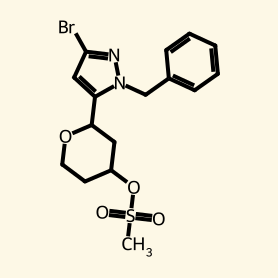 CS(=O)(=O)OC1CCOC(c2cc(Br)nn2Cc2ccccc2)C1